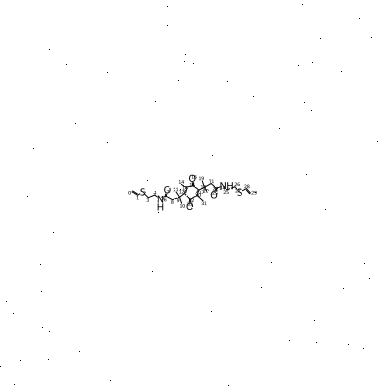 C=CSCCNC(=O)CC(C)(C)C1=C(C)C(=O)C(C(C)(C)CC(=O)NCCSC=C)=C(C)C1=O